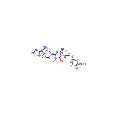 Cn1c(N2CCC3(CC2)Cc2scnc2[C@H]3N)nc(N)c(C#CCc2ccc(Cl)c(O)c2)c1=O